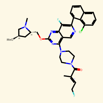 CO[C@@H]1C[C@@H](COc2nc(N3CCN(C(=O)/C(C)=C/CF)CC3)c3cnc(-c4cccc5cccc(Cl)c45)c(F)c3n2)N(C)C1